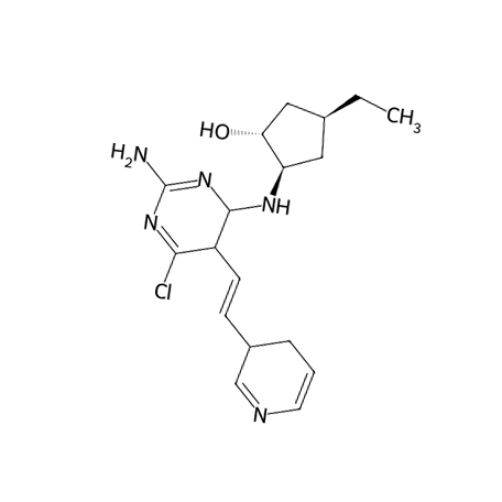 CC[C@@H]1C[C@@H](O)[C@H](NC2N=C(N)N=C(Cl)C2/C=C/C2C=NC=CC2)C1